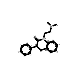 CN(C)CCN1C(=O)C(c2ccccc2)Cc2ccccc21